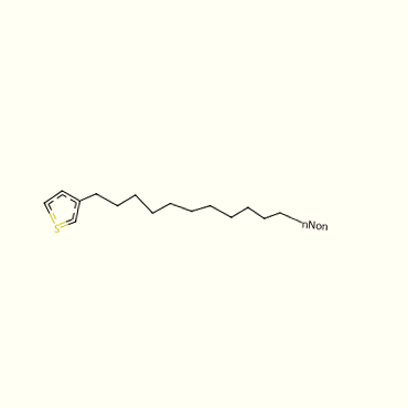 CCCCCCCCCCCCCCCCCCCCc1ccsc1